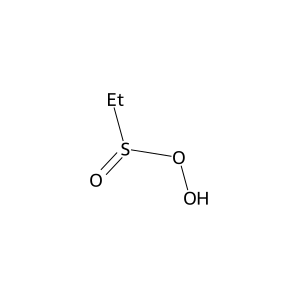 CCS(=O)OO